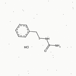 Cl.NC(=O)NSCc1ccccc1